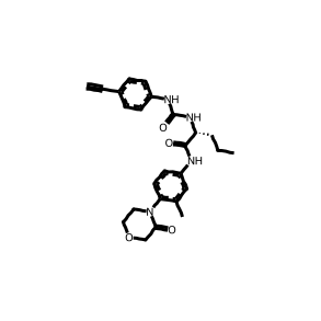 C#Cc1ccc(NC(=O)N[C@H](CCC)C(=O)Nc2ccc(N3CCOCC3=O)c(C)c2)cc1